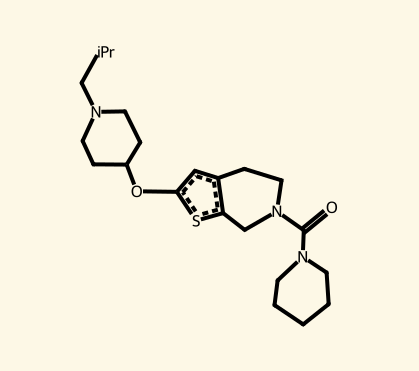 CC(C)CN1CCC(Oc2cc3c(s2)CN(C(=O)N2CCCCC2)CC3)CC1